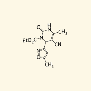 CCOC(=O)N1C(=O)NC(C)=C(C#N)C1c1cc(C)on1